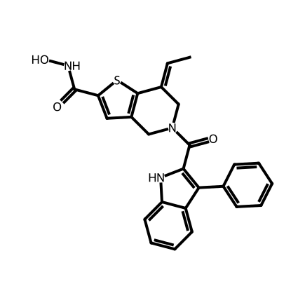 C/C=C1\CN(C(=O)c2[nH]c3ccccc3c2-c2ccccc2)Cc2cc(C(=O)NO)sc21